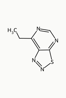 CCc1ncnc2snnc12